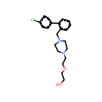 OCCOCCN1CCN(Cc2ccccc2-c2ccc(Cl)cc2)CC1